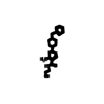 Cc1nc(N2CCN(Cc3ccccc3)CC2)ncc1C(=O)NCCO